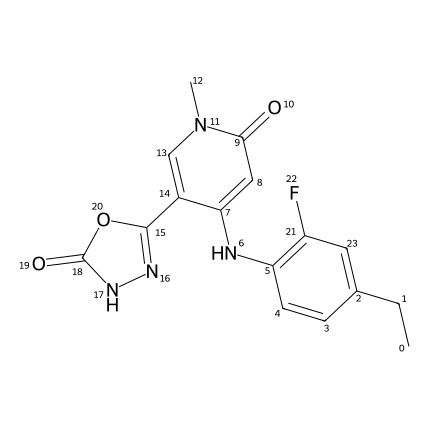 CCc1ccc(Nc2cc(=O)n(C)cc2-c2n[nH]c(=O)o2)c(F)c1